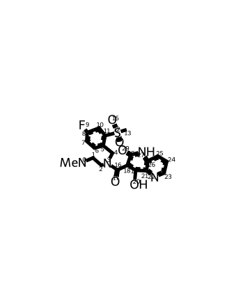 CNCCN(Cc1ccc(F)cc1S(C)(=O)=O)C(=O)c1c(O)c2ncccc2[nH]c1=O